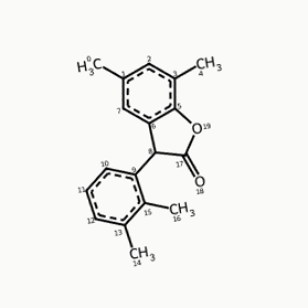 Cc1cc(C)c2c(c1)C(c1cccc(C)c1C)C(=O)O2